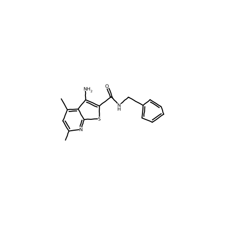 Cc1cc(C)c2c(N)c(C(=O)NCc3ccccc3)sc2n1